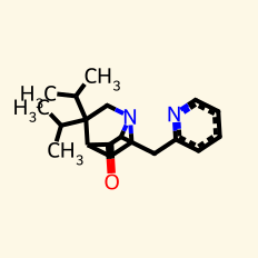 CC(C)C1(C(C)C)CN2CCC1C(=O)C2Cc1ccccn1